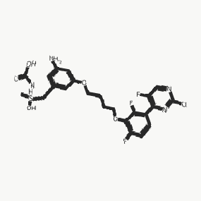 C[SH](O)(Cc1cc(N)cc(OCCCCOc2c(F)ccc(-c3nc(Cl)ncc3F)c2F)c1)=NC(=O)O